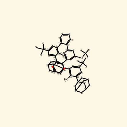 CC(C)(C)Oc1cc(-c2ccccc2-c2cc(C(C)(C)C)cc(C34CC5CC(CC(C5)C3)C4)c2O)nc(-c2ccccc2-c2cc(C(C)(C)C)cc(C34CC5CC(CC(C5)C3)C4)c2O)c1